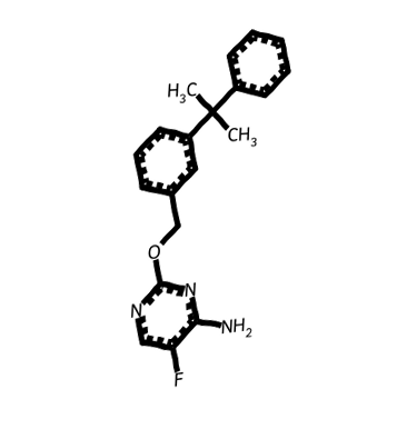 CC(C)(c1ccccc1)c1cccc(COc2ncc(F)c(N)n2)c1